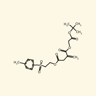 C=C(CC(=O)OCCS(=O)(=O)c1ccc(C)cc1)C(=O)OCC(=O)OC(C)(C)C